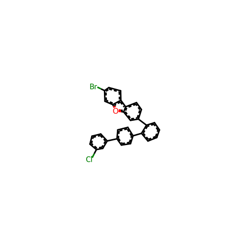 Clc1cccc(-c2ccc(-c3ccccc3-c3ccc4c(c3)oc3cc(Br)ccc34)cc2)c1